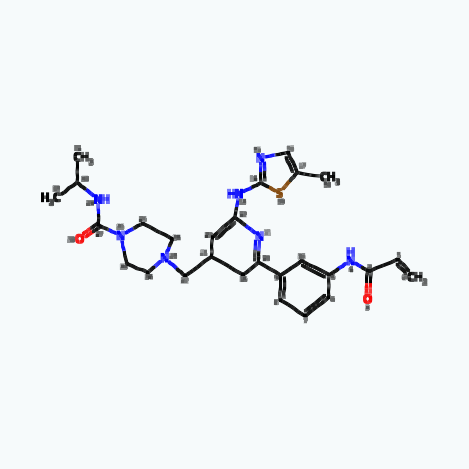 C=CC(=O)Nc1cccc(C2=NC(Nc3ncc(C)s3)=CC(CN3CCN(C(=O)NC(C)C)CC3)C2)c1